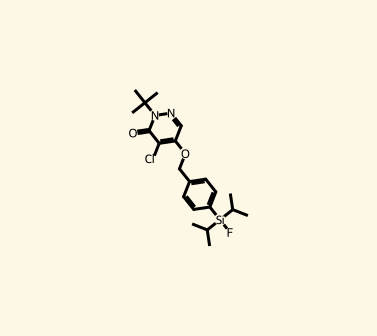 CC(C)[Si](F)(c1ccc(COc2cnn(C(C)(C)C)c(=O)c2Cl)cc1)C(C)C